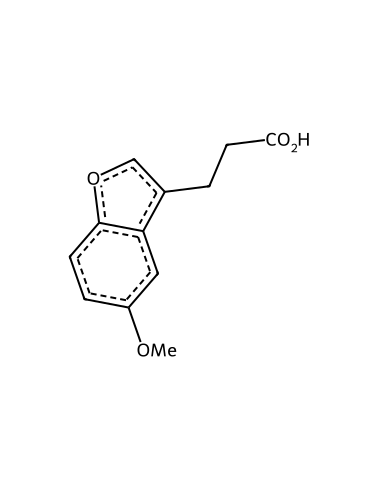 COc1ccc2occ(CCC(=O)O)c2c1